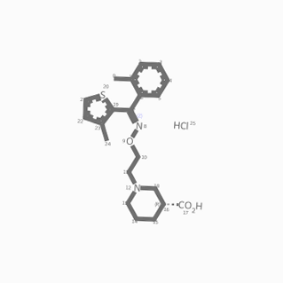 Cc1ccccc1/C(=N/OCCN1CCC[C@@H](C(=O)O)C1)c1sccc1C.Cl